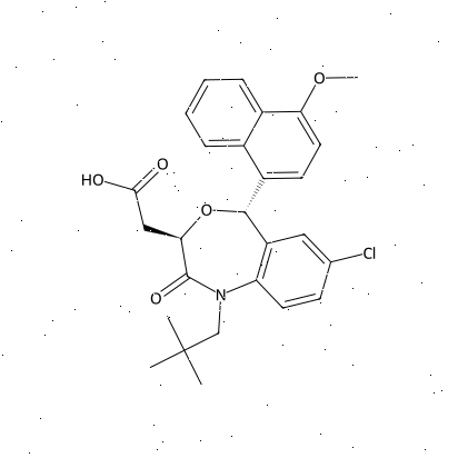 COc1ccc([C@H]2O[C@H](CC(=O)O)C(=O)N(CC(C)(C)C)c3ccc(Cl)cc32)c2ccccc12